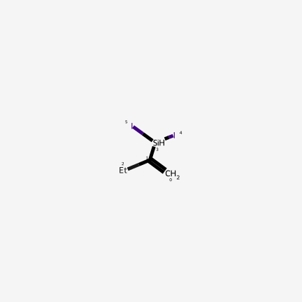 C=C(CC)[SiH](I)I